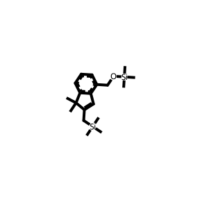 CC1(C)C(C[Si](C)(C)C)=Cc2c(CO[Si](C)(C)C)cccc21